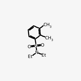 CCN(CC)S(=O)(=O)c1cccc(C)c1C